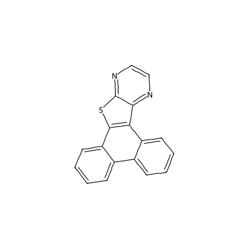 c1ccc2c(c1)c1ccccc1c1c3nccnc3sc21